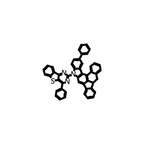 c1ccc(-c2ccc3c(c2)c2c4c5c(cc2n3-c2nc(-c3ccccc3)c3sc6ccccc6c3n2)-c2ccccc2C5Cc2ccccc2-4)cc1